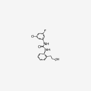 O=C(Nc1cc(F)cc(Cl)c1)Nc1ccccc1CCO